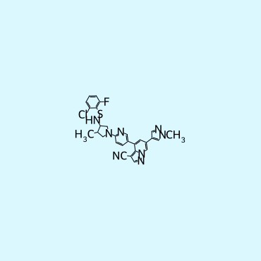 CC1CN(c2ccc(-c3cc(-c4cnn(C)c4)cn4ncc(C#N)c34)cn2)CC1NSc1c(F)cccc1Cl